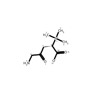 C[N+](C)(C)[C@@H](CC(=O)CN)C(=O)[O-]